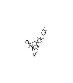 Cc1ccc(C(C)N2C[C@H](C)N(c3cc(=O)n(C)c4c3nc(CC#N)n4C)C[C@H]2C)cc1